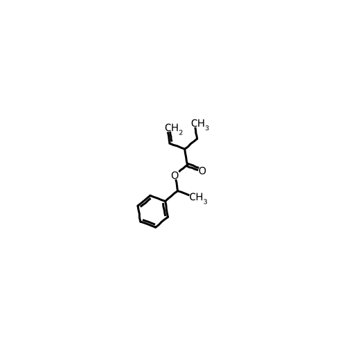 C=CC(CC)C(=O)OC(C)c1ccccc1